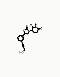 O=C1CCC(N2CC(c3cccc(C#CCO)c3)OC2=O)C(=O)N1